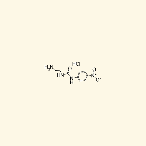 Cl.NCCNC(=O)Nc1ccc([N+](=O)[O-])cc1